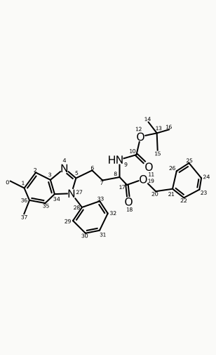 Cc1cc2nc(CCC(NC(=O)OC(C)(C)C)C(=O)OCc3ccccc3)n(-c3ccccc3)c2cc1C